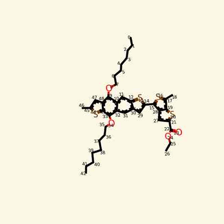 CCCCCCCCOc1c2cc3sc(-c4sc(C)c5sc(C(=O)OCC)cc45)cc3cc2c(OCCCCCCCC)c2sc(C)cc12